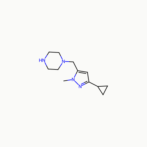 Cn1nc(C2CC2)cc1CN1CCNCC1